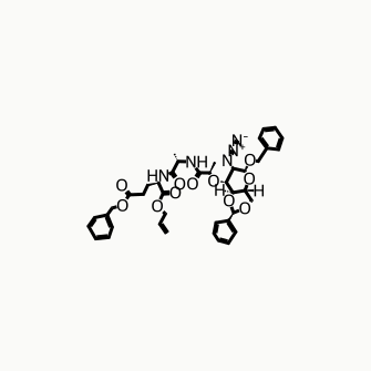 C=CCOC(=O)[C@@H](CCC(=O)OCc1ccccc1)NC(=O)[C@H](C)NC(=O)[C@@H](C)O[C@@H]1[C@@H](N=[N+]=[N-])[C@@H](OCc2ccccc2)O[C@@H]2CO[C@@H](c3ccccc3)O[C@@H]12